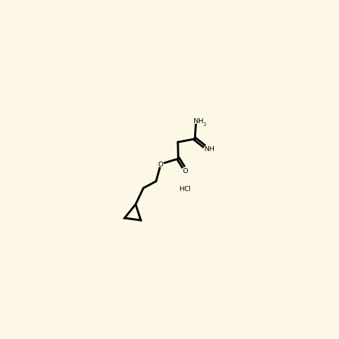 Cl.N=C(N)CC(=O)OCCC1CC1